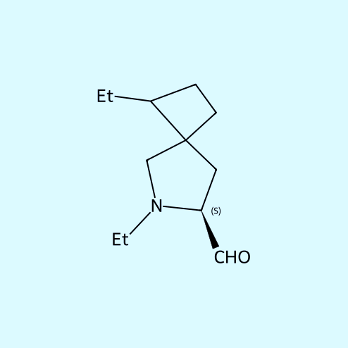 CCC1CCC12C[C@@H](C=O)N(CC)C2